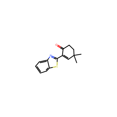 CC1(C)C=C(c2nc3ccccc3s2)C(=O)CC1